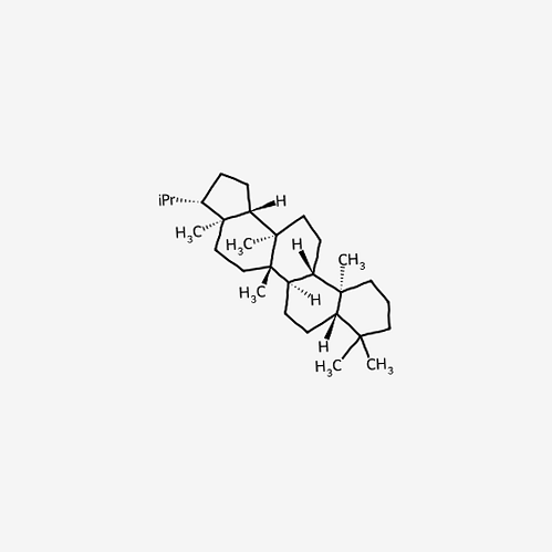 CC(C)[C@@H]1CC[C@H]2[C@@]1(C)CC[C@@]1(C)[C@@H]3CC[C@H]4C(C)(C)CCC[C@]4(C)[C@H]3CC[C@]21C